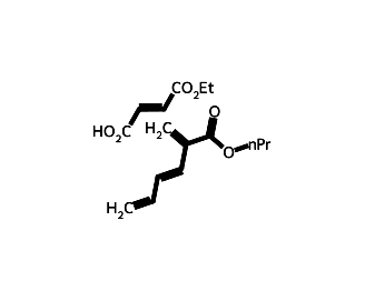 C=CC=CC(=C)C(=O)OCCC.CCOC(=O)C=CC(=O)O